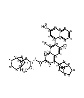 CO[C@@H](COc1nc(N2CC3CCC(C2)N3)c2cc(Cl)c(-c3cc(O)cc4ccccc34)c(F)c2n1)CN1C2CCCC1CC2